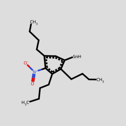 CCCCc1c[c]([SnH])c(CCCC)c(CCCC)c1[N+](=O)[O-]